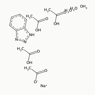 CC(=O)O.CC(=O)O.CC(=O)O.CC(=O)[O-].O.O.O.[Na+].c1ccc2[nH]nnc2c1